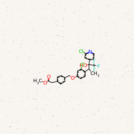 COC(=O)Cc1ccc(COc2ccc(C(C)C(O)(c3ccnc(Cl)c3)C(F)(F)F)c(Cl)c2)cc1